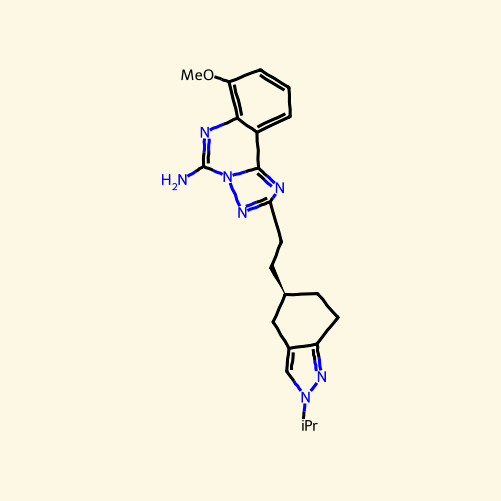 COc1cccc2c1nc(N)n1nc(CC[C@H]3CCc4nn(C(C)C)cc4C3)nc21